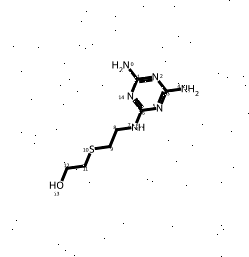 Nc1nc(N)nc(NCCSCCO)n1